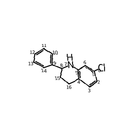 Clc1ccc2c(c1)NC(c1ccccc1)CC2